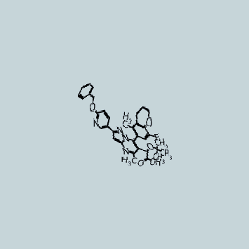 Cc1nc2cc(-c3ccc(OCc4ccccc4)nc3)nn2c(-c2cc(F)c3c(c2C)CCCO3)c1C(OC(C)(C)C)C(=O)O